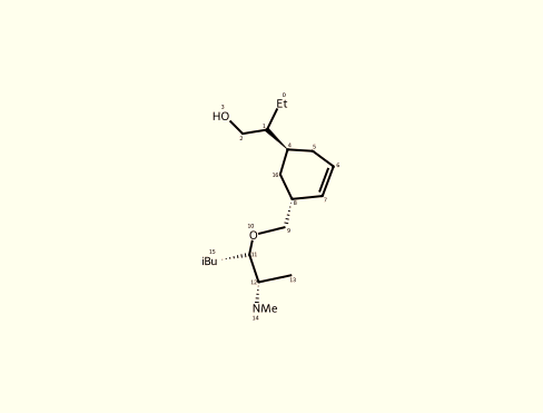 CCC(CO)[C@H]1CC=C[C@H](COC([C@H](C)NC)[C@@H](C)CC)C1